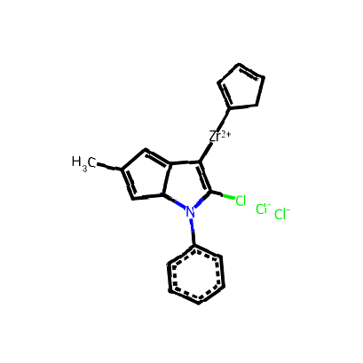 CC1=CC2C(=C1)[C]([Zr+2][C]1=CC=CC1)=C(Cl)N2c1ccccc1.[Cl-].[Cl-]